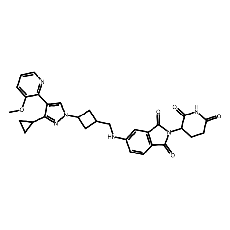 COc1cccnc1-c1cn(C2CC(CNc3ccc4c(c3)C(=O)N(C3CCC(=O)NC3=O)C4=O)C2)nc1C1CC1